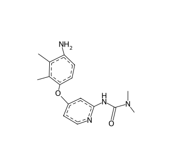 Cc1c(N)ccc(Oc2ccnc(NC(=O)N(C)C)c2)c1C